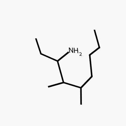 CCCCC(C)C(C)C(N)CC